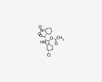 CC(=O)Oc1c(C(=O)c2ccccc2[N+](=O)[O-])[nH]c2cc(Cl)ccc12